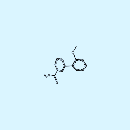 COc1ccccc1-c1cccc(C(N)=S)c1